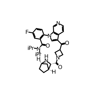 CC(C)N(C(=O)c1cc(F)ccc1-n1cc(C(=O)C2CN(C(=O)[C@H]3N[C@@H]4CC[C@H]3C4)C2)c2ccncc21)C(C)C